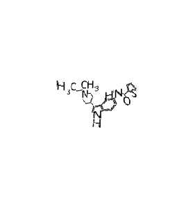 CCC(C)N1CC=C(c2c[nH]c3ccc(NC(=O)c4cccs4)cc23)CC1